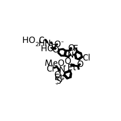 C#CC(C)Oc1cc(N2C(=O)C3=C(CCCC3)C2=O)c(F)cc1Cl.CCc1cccc(CC)c1N(COC)C(=O)CCl.C[S+](C)C.O=C(O)CNCP(=O)([O-])O